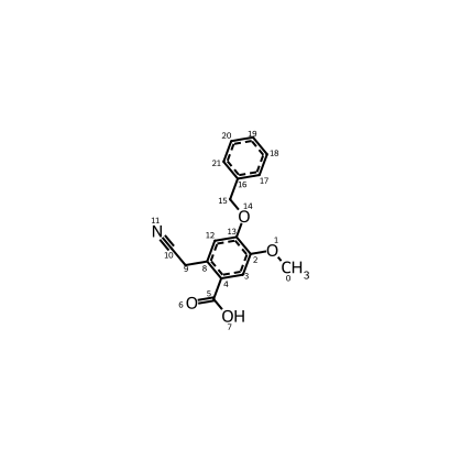 COc1cc(C(=O)O)c(CC#N)cc1OCc1ccccc1